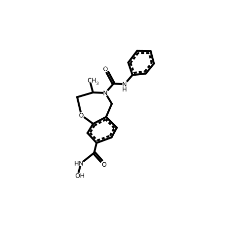 CC1COc2cc(C(=O)NO)ccc2CN1C(=O)Nc1ccccc1